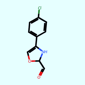 O=CC1NC(c2ccc(Cl)cc2)=CO1